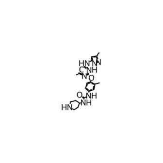 Cc1cc(Nc2cc(C)nc(Oc3ccc(NC(=O)NC4CCNCC4)cc3C)n2)[nH]n1